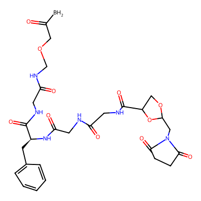 BC(=O)COCNC(=O)CNC(=O)[C@H](Cc1ccccc1)NC(=O)CNC(=O)CNC(=O)C1COC(CN2C(=O)CCC2=O)O1